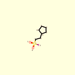 O=S(=O)(I)CCC1CCCC1